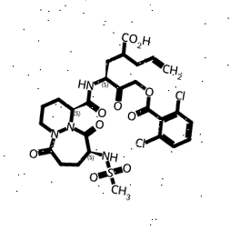 C=CCC(C[C@H](NC(=O)[C@@H]1CCCN2C(=O)CC[C@H](NS(C)(=O)=O)C(=O)N12)C(=O)COC(=O)c1c(Cl)cccc1Cl)C(=O)O